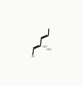 CC=CC=[CH][Cr].Cl.Cl